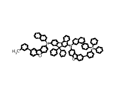 Cc1cccc(-c2ccc3oc4ccc(N(c5ccc6c(c5)C(c5ccccc5)(c5ccccc5)c5cc(N(c7ccc8ccccc8c7)c7ccc8oc9ccc(-c%10cccc([Si](c%11ccccc%11)(c%11ccccc%11)c%11ccccc%11)c%10)cc9c8c7)c7ccccc7c5-6)c5ccc6ccccc6c5)cc4c3c2)c1